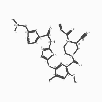 C=CC(=O)N1CCN(C(=O)c2cc(Sc3cnc(NC(=O)c4cccc(CN(C)C)c4)s3)c(C)cc2OC)CC1C#N